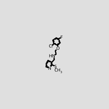 CSc1ncccc1CNCCOc1cc(F)ccc1Cl